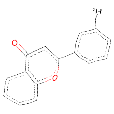 [2H]c1cccc(-c2cc(=O)c3ccccc3o2)c1